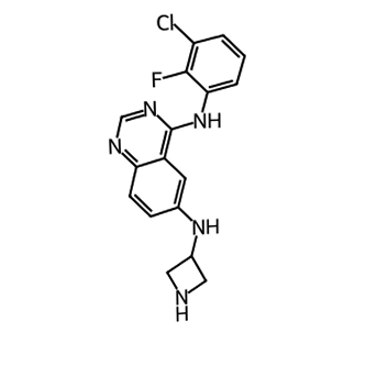 Fc1c(Cl)cccc1Nc1ncnc2ccc(NC3CNC3)cc12